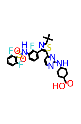 CC(C)(C)c1nc(-c2cccc(NS(=O)(=O)c3c(F)cccc3F)c2F)c(-c2ccnc(NC3CCC(C(=O)O)CC3)n2)s1